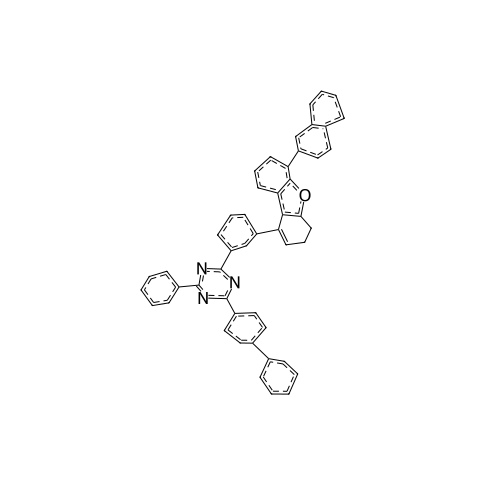 C1=C(c2cccc(-c3nc(-c4ccccc4)nc(-c4ccc(-c5ccccc5)cc4)n3)c2)c2c(oc3c(-c4ccc5ccccc5c4)cccc23)CC1